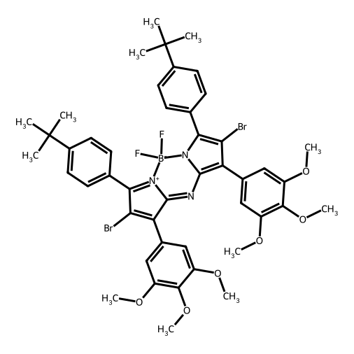 COc1cc(C2=C(Br)C(c3ccc(C(C)(C)C)cc3)=[N+]3C2=Nc2c(-c4cc(OC)c(OC)c(OC)c4)c(Br)c(-c4ccc(C(C)(C)C)cc4)n2[B-]3(F)F)cc(OC)c1OC